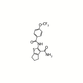 NC(=O)c1c(NC(=O)c2ccc(OC(F)(F)F)cc2)sc2c1CCC2